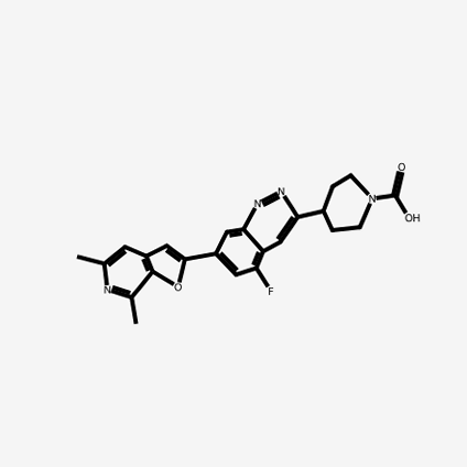 Cc1cc2cc(-c3cc(F)c4cc(C5CCN(C(=O)O)CC5)nnc4c3)oc2c(C)n1